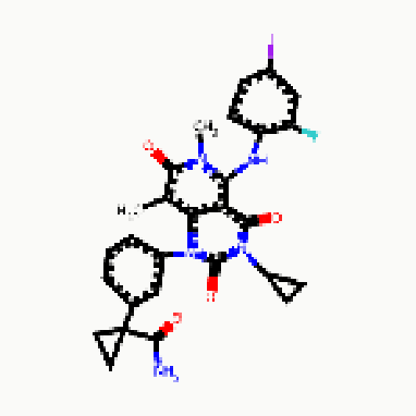 Cc1c(=O)n(C)c(Nc2ccc(I)cc2F)c2c(=O)n(C3CC3)c(=O)n(-c3cccc(C4(C(N)=O)CC4)c3)c12